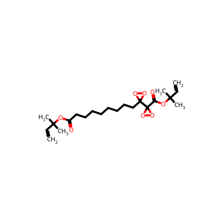 C=CC(C)(C)OC(=O)CCCCCCCCC1(C2(C(=O)OC(C)(C)C=C)OO2)OO1